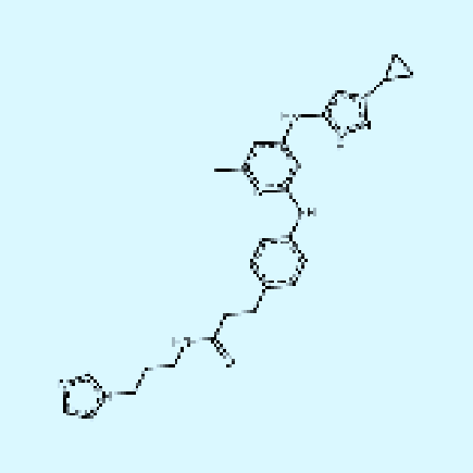 Cc1cc(Nc2cc(C3CC3)n[nH]2)nc(Nc2ccc(CCC(=O)NCCCn3ccnc3)cc2)n1